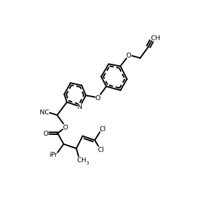 C#CCOc1ccc(Oc2cccc(C(C#N)OC(=O)C(C(C)C)C(C)C=C(Cl)Cl)n2)cc1